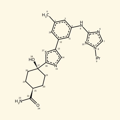 Cc1cc(Nc2ncn(C(C)C)n2)cc(-c2cnc([C@]3(O)CC[C@@H](C(N)=O)CC3)s2)c1